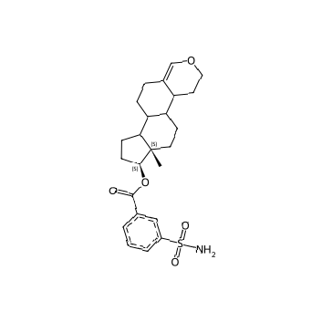 C[C@]12CCC3C4CCOC=C4CCC3C1CC[C@@H]2OC(=O)c1cccc(S(N)(=O)=O)c1